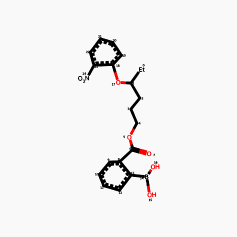 CCC(CCCOC(=O)c1ccccc1B(O)O)Oc1ccccc1[N+](=O)[O-]